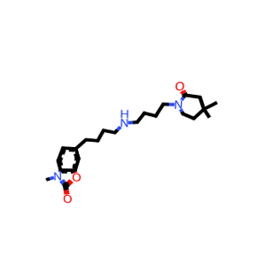 Cn1c(=O)oc2cc(CCCCNCCCCN3CCC(C)(C)CC3=O)ccc21